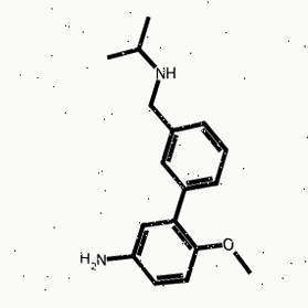 COc1ccc(N)cc1-c1cccc(CNC(C)C)c1